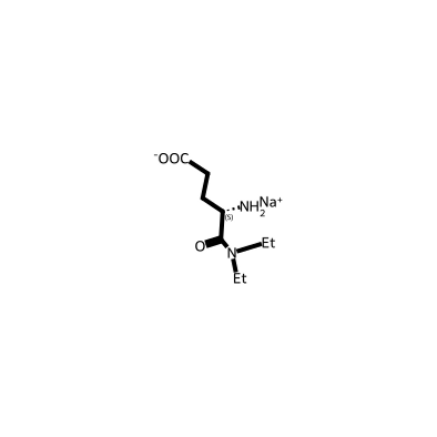 CCN(CC)C(=O)[C@@H](N)CCC(=O)[O-].[Na+]